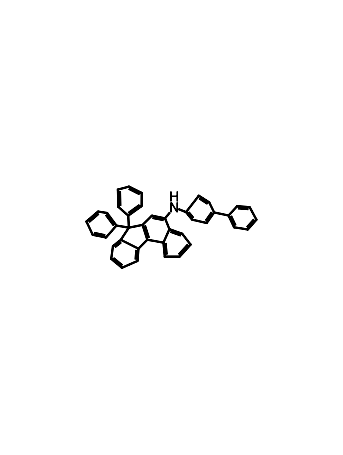 c1ccc(-c2ccc(Nc3cc4c(c5ccccc35)-c3ccccc3C4(c3ccccc3)c3ccccc3)cc2)cc1